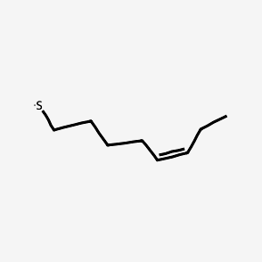 CC/C=C\CCCC[S]